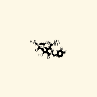 CCN1C[C@@H](C)n2c(c(O)c3c(=O)n(Cc4ccc(F)c(Cl)c4)nc(C(=O)NC)c32)C1=O